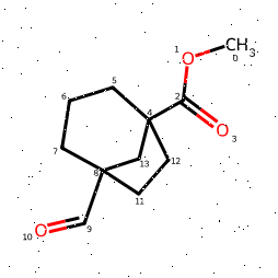 COC(=O)C12CCCC(C=O)(CC1)C2